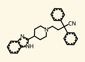 N#CC(CCN1CCC(c2nc3ccccc3[nH]2)CC1)(c1ccccc1)c1ccccc1